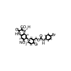 O=C(Nc1ccc(Br)cc1)OCc1cn(-c2cc3nc(C(=O)O)c(=O)[nH]c3cc2[N+](=O)[O-])ccc1=O